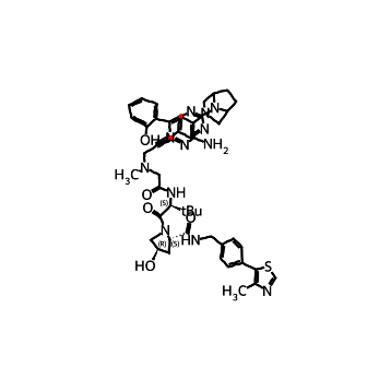 Cc1ncsc1-c1ccc(CNC(=O)[C@@H]2C[C@@H](O)CN2C(=O)[C@@H](NC(=O)CN(C)CC#Cc2cnc(N3C4CCC3CN(c3cc(-c5ccccc5O)nnc3N)C4)nc2)C(C)(C)C)cc1